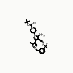 Cc1nn(Cc2cccc(C(F)(F)F)c2)cc1-c1nn(C2CCN(C(O)OC(C)(C)C)CC2)c(N)c1C#N